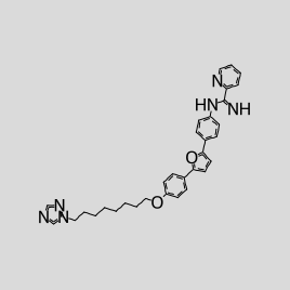 N=C(Nc1ccc(-c2ccc(-c3ccc(OCCCCCCCCn4cncn4)cc3)o2)cc1)c1ccccn1